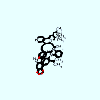 C=C1CC2C(CCc3cc4oc5cc6ccccc6cc5c4cc3-c3n(-c4c(C(C)C)cc(-c5ccccc5)cc4C(C)C)c4ccccc4[n+]31)c1cnccc1-c1cc(CC(C)C)c([Si](C)(C)C)c[n+]12